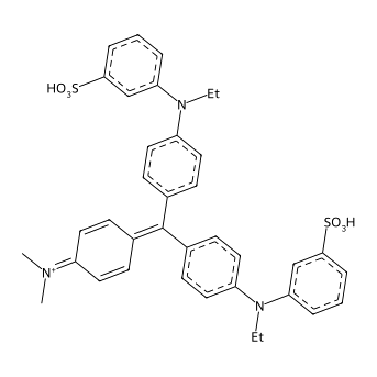 CCN(c1ccc(C(=C2C=CC(=[N+](C)C)C=C2)c2ccc(N(CC)c3cccc(S(=O)(=O)O)c3)cc2)cc1)c1cccc(S(=O)(=O)O)c1